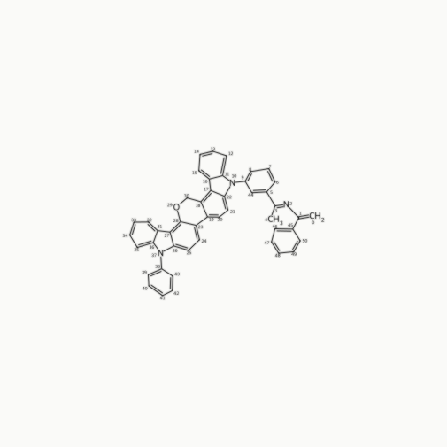 C=C(/N=C(\C)c1cccc(-n2c3ccccc3c3c4c(ccc32)-c2ccc3c(c2OC4)c2ccccc2n3-c2ccccc2)c1)c1ccccc1